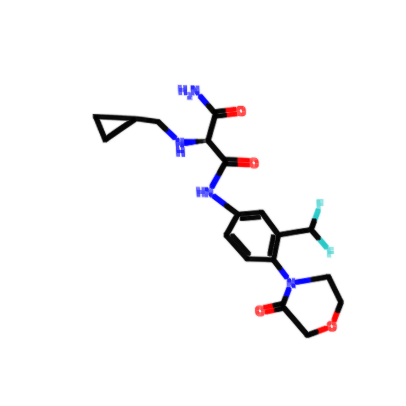 NC(=O)[C@H](NCC1CC1)C(=O)Nc1ccc(N2CCOCC2=O)c(C(F)F)c1